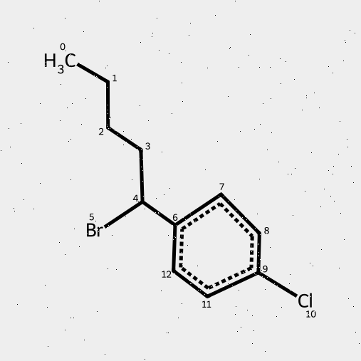 CCCCC(Br)c1ccc(Cl)cc1